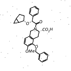 COc1ccc2c(c1OCc1ccccc1)C[C@@H](C(=O)O)N(C(=O)[C@H](O[C@H]1CCC3CC31)c1ccccc1)C2